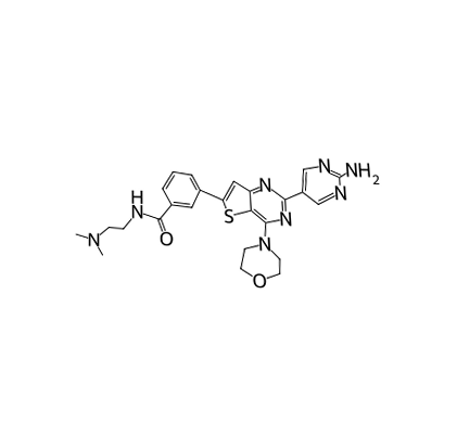 CN(C)CCNC(=O)c1cccc(-c2cc3nc(-c4cnc(N)nc4)nc(N4CCOCC4)c3s2)c1